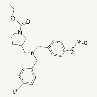 CCOC(=O)N1CCC(CN(Cc2ccc(Cl)cc2)Cc2ccc(SN=O)cc2)C1